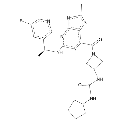 Cc1nc2nc(N[C@@H](C)c3cncc(F)c3)nc(C(=O)N3CC(NC(=O)NC4CCCC4)C3)c2s1